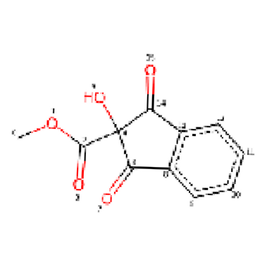 COC(=O)C1(O)C(=O)c2ccccc2C1=O